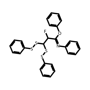 FC(/C(=N/c1ccccc1)Oc1ccccc1)C(SSc1ccccc1)SSc1ccccc1